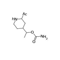 CC(=O)C1CC(C(C)OC(N)=O)CCN1